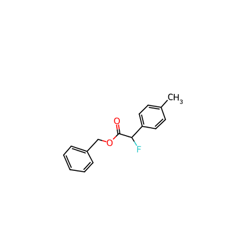 Cc1ccc(C(F)C(=O)OCc2ccccc2)cc1